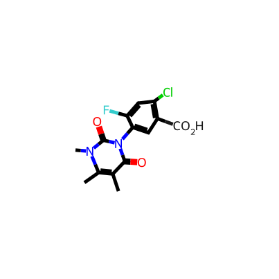 Cc1c(C)n(C)c(=O)n(-c2cc(C(=O)O)c(Cl)cc2F)c1=O